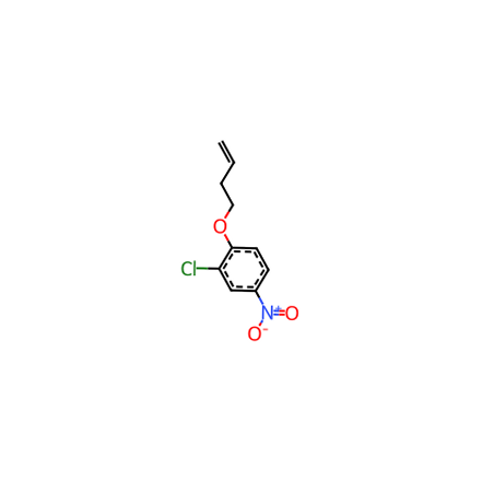 C=CCCOc1ccc([N+](=O)[O-])cc1Cl